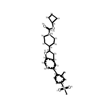 Cc1cc(S(C)(=O)=O)ccc1-c1cc2c(cn1)OC(C1CCN(C(=O)OC3CCC3)CC1)C2